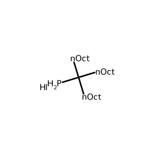 CCCCCCCCC(P)(CCCCCCCC)CCCCCCCC.I